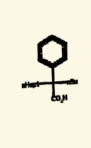 CCCCCCCC(CCCC)(C(=O)O)c1ccccc1